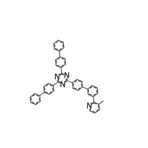 Cc1cccnc1-c1cccc(-c2ccc(-c3nc(-c4ccc(-c5ccccc5)cc4)nc(-c4ccc(-c5ccccc5)cc4)n3)cc2)c1